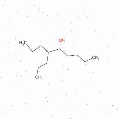 CCCCC(O)C(CCC)CCC